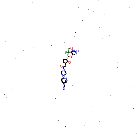 N#Cc1ccc(N2CCN(C(=O)C[C@H]3CC[C@H](COc4cn[nH]c(=O)c4C(F)(F)F)C3=O)CC2)nc1